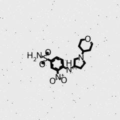 NS(=O)(=O)c1ccc(N[C@@H]2CCN(C3CCOCC3)C2)c([N+](=O)[O-])c1